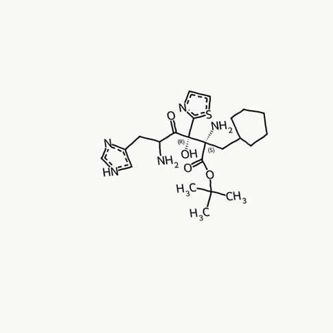 CC(C)(C)OC(=O)[C@](N)(CC1CCCCC1)[C@@](O)(C(=O)C(N)Cc1c[nH]cn1)c1nccs1